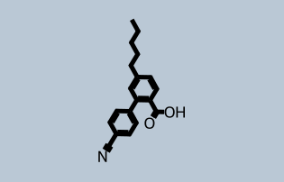 CCCCCc1ccc(C(=O)O)c(-c2ccc(C#N)cc2)c1